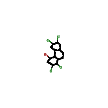 Clc1cc2ccc3c(Cl)c(Cl)cc(Br)c3c2cc1Cl